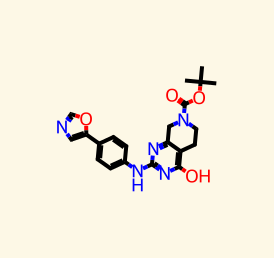 CC(C)(C)OC(=O)N1CCc2c(O)nc(Nc3ccc(-c4cnco4)cc3)nc2C1